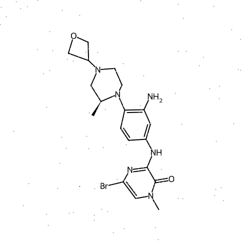 C[C@H]1CN(C2COC2)CCN1c1ccc(Nc2nc(Br)cn(C)c2=O)cc1N